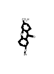 CC(C)Oc1ccc2oc3cc(C(=O)O)ccc3c(=O)c2c1